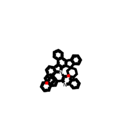 c1ccc2c(c1)-c1c(c3c(c4ccccc14)c1ccc4ccccc4c1n3-c1nc3ccccc3nc1-c1ccc3ccccc3c1)C21CCCCC1